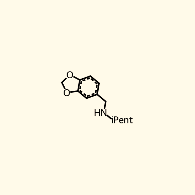 CCCC(C)NCc1ccc2c(c1)OCO2